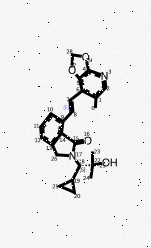 Cc1cnc2c(c1/C=C/c1cccc3c1C(=O)N([C@@H](C1CC1)C(C)(C)O)C3)OCO2